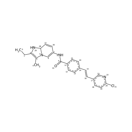 CCC1=C(C)N2C=C(NC(=O)c3ccc(/C=C/c4ccc(Cl)nc4)cc3)C=CC2N1